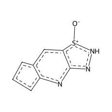 [O-][s+]1[nH]nc2nc3cccc3cc21